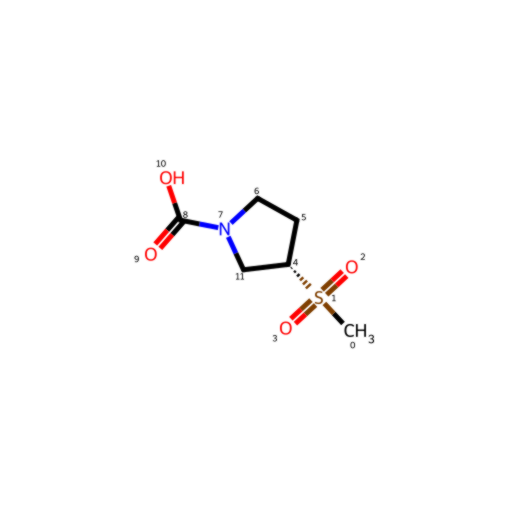 CS(=O)(=O)[C@H]1CCN(C(=O)O)C1